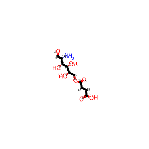 N[C@@H](C=O)[C@@H](O)[C@H](O)[C@H](O)COC(=O)CCC(=O)O